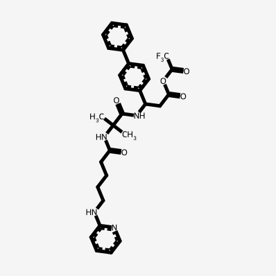 CC(C)(NC(=O)CCCCNc1ccccn1)C(=O)NC(CC(=O)OC(=O)C(F)(F)F)c1ccc(-c2ccccc2)cc1